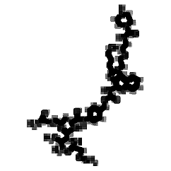 CCCCc1nc2c(NC(=O)OCc3ccc(NC(=O)[C@@H](CCCNC(N)=O)NC(=O)[C@H](NC(=O)CON)C(C)C)cc3)nc3ccccc3c2n1CCOCCNC(=O)N1CCNCC1